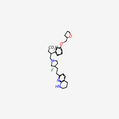 O=C(O)CC(CN1CC[C@@](F)(CCc2ccc3c(n2)NCCC3)C1)c1cccc(OC[C@H]2CCCO2)c1